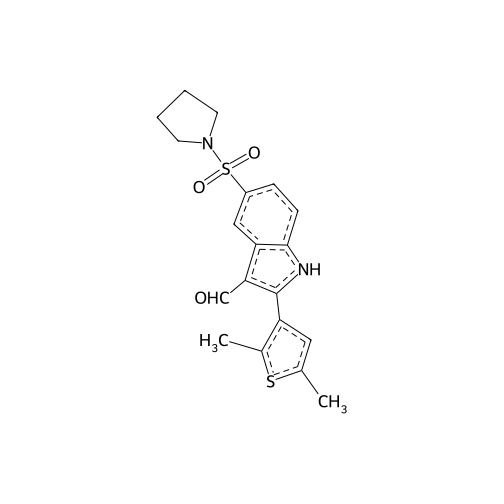 Cc1cc(-c2[nH]c3ccc(S(=O)(=O)N4CCCC4)cc3c2C=O)c(C)s1